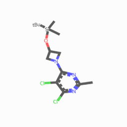 Cc1nc(Cl)c(Cl)c(N2CC(O[Si](C)(C)C(C)(C)C)C2)n1